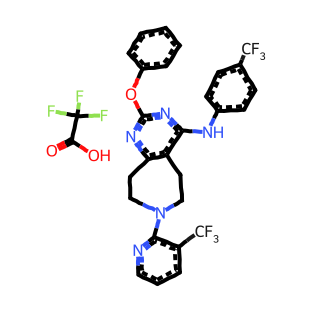 FC(F)(F)c1ccc(Nc2nc(Oc3ccccc3)nc3c2CCN(c2ncccc2C(F)(F)F)CC3)cc1.O=C(O)C(F)(F)F